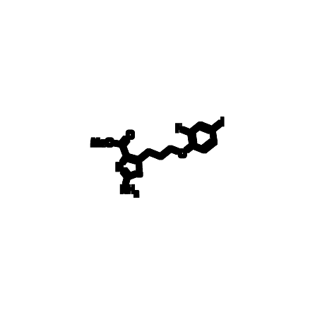 COC(=O)c1nc(N)sc1CCCOc1ccc(I)cc1F